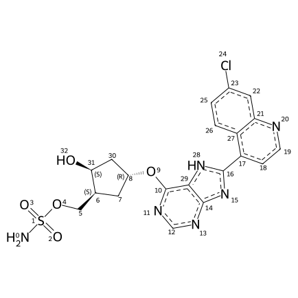 NS(=O)(=O)OC[C@@H]1C[C@@H](Oc2ncnc3nc(-c4ccnc5cc(Cl)ccc45)[nH]c23)C[C@@H]1O